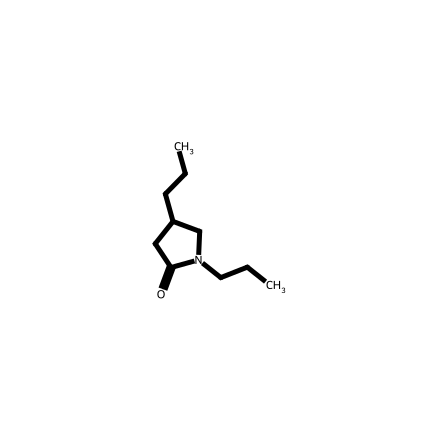 CCCC1CC(=O)N(CCC)C1